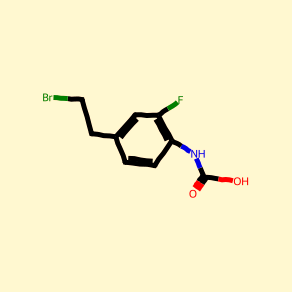 O=C(O)Nc1ccc(CCBr)cc1F